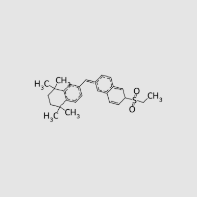 CCS(=O)(=O)C1C=Cc2c/c(=C\c3ccc4c(c3)C(C)(C)CCC4(C)C)ccc2=C1